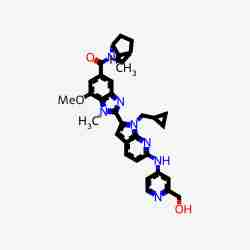 COc1cc(C(=O)N2CC3CCC2[C@@H]3C)cc2nc(-c3cc4ccc(Nc5ccnc(CO)c5)nc4n3CC3CC3)n(C)c12